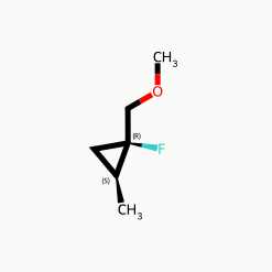 COC[C@@]1(F)C[C@@H]1C